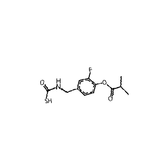 CC(C)C(=O)Oc1ccc(CNC(=O)S)cc1F